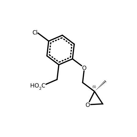 C[C@]1(COc2ccc(Cl)cc2CC(=O)O)CO1